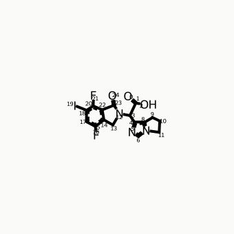 O=C(O)C(c1ncn2c1CCC2)N1Cc2c(F)cc(I)c(F)c2C1=O